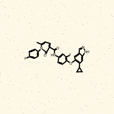 Cc1ccc(C(=O)Nc2ccc(Oc3cc4cn[nH]c4cc3C3CC3)c(F)c2)c(=O)n1-c1ccc(F)cc1